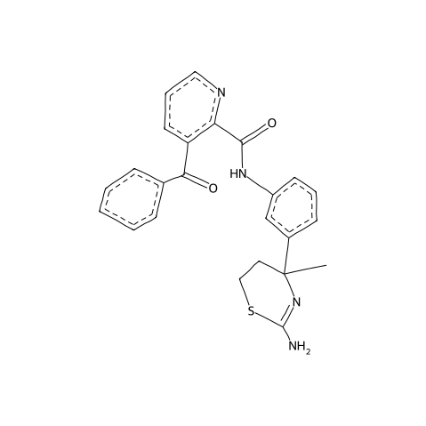 CC1(c2cccc(NC(=O)c3ncccc3C(=O)c3ccccc3)c2)CCSC(N)=N1